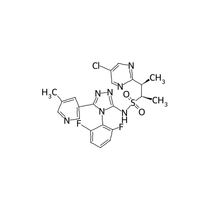 Cc1cncc(-c2nnc(NS(=O)(=O)[C@H](C)[C@H](C)c3ncc(Cl)cn3)n2-c2c(F)cccc2F)c1